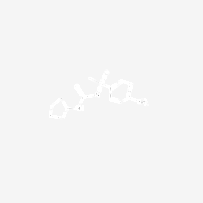 CS(=O)(=NC(=O)NC1CCCC1)c1ccc(N)cc1